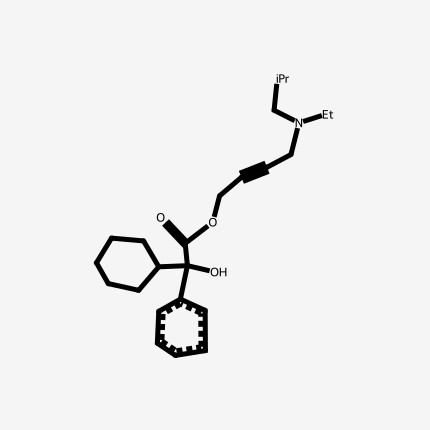 CCN(CC#CCOC(=O)C(O)(c1ccccc1)C1CCCCC1)CC(C)C